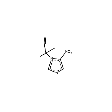 C=CC(C)(C)n1cncc1[N+](=O)[O-]